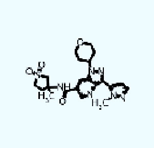 Cn1nccc1-c1nn(C2CCOCC2)c2cc(C(=O)NC3(C)CCS(=O)(=O)C3)cnc12